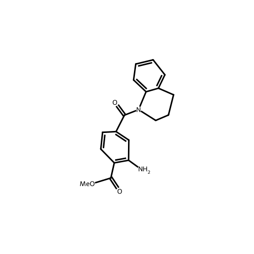 COC(=O)c1ccc(C(=O)N2CCCc3ccccc32)cc1N